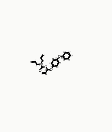 C=CCN(CC=C)C(=O)OC(C=C)Oc1ccc(Oc2ccccc2)cc1